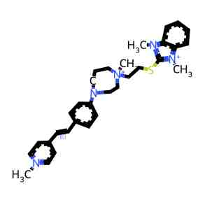 Cn1c(SCC[N+]2(C)CCCN(c3ccc(/C=C/c4cc[n+](C)cc4)cc3)CC2)[n+](C)c2ccccc21